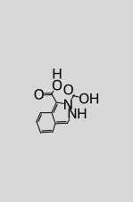 O=C(O)C1=c2ccccc2=CNN1C(=O)O